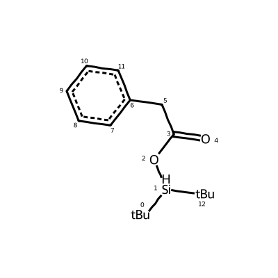 CC(C)(C)[SiH](OC(=O)Cc1ccccc1)C(C)(C)C